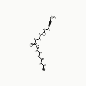 CCCC#CCCOCCCC(=O)OCCCCCCBr